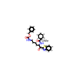 COC1(C(=O)NC(CCCCNC(=O)OCc2ccccc2)C(=O)c2nc3ccccc3s2)CCCCC1